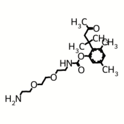 CC(=O)CC(C)(C)c1c(C)cc(C)cc1OC(=O)NCCOCCOCCN